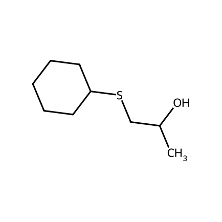 CC(O)CSC1CCCCC1